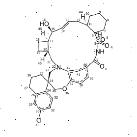 O=C1NS(=O)(=O)[C@H]2CCCC[C@@H]2C/C=C/[C@H](O)[C@@H]2CC[C@H]2CN2C[C@@]3(CCCc4cc(Cl)ccc43)COc3ccc1cc32